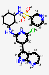 O=S(=O)(NC1CCCC(Nc2cc(-c3c[nH]c4ncccc34)cc(Cl)n2)C1)c1cccnc1